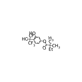 CCC(C)(C)C(=O)Oc1ccc(C(O)(C(F)(F)F)C(F)(F)F)c(O)c1